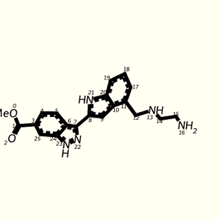 COC(=O)c1ccc2c(-c3cc4c(CNCCN)cccc4[nH]3)n[nH]c2c1